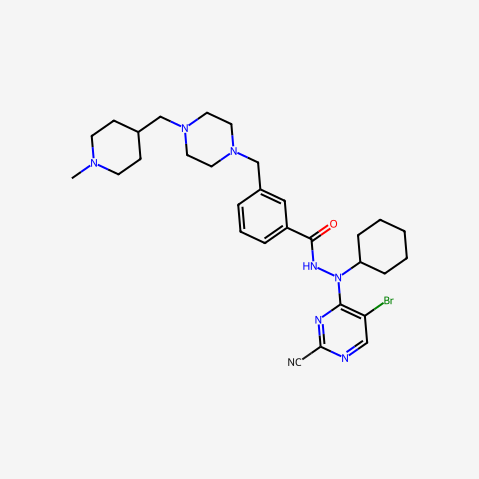 CN1CCC(CN2CCN(Cc3cccc(C(=O)NN(c4nc(C#N)ncc4Br)C4CCCCC4)c3)CC2)CC1